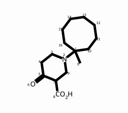 CC1(N2CCC(=O)C(C(=O)O)C2)CCCCCCC1